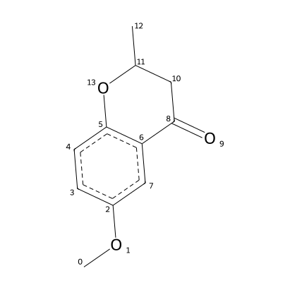 COc1ccc2c(c1)C(=O)CC(C)O2